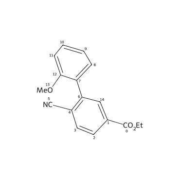 CCOC(=O)c1ccc(C#N)c(-c2ccccc2OC)c1